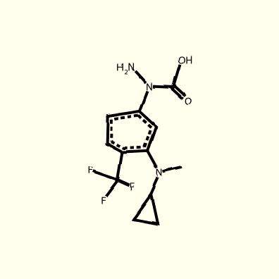 CN(c1cc(N(N)C(=O)O)ccc1C(F)(F)F)C1CC1